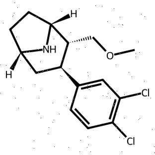 COC[C@@H]1[C@@H](c2ccc(Cl)c(Cl)c2)C[C@@H]2CC[C@H]1N2